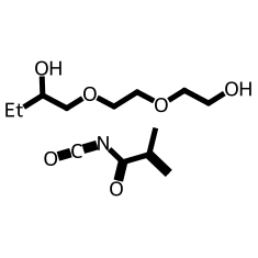 C=C(C)C(=O)N=C=O.CCC(O)COCCOCCO